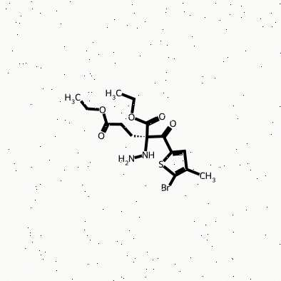 CCOC(=O)CC[C@](NN)(C(=O)OCC)C(=O)c1cc(C)c(Br)s1